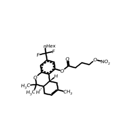 CCCCCCC(F)(F)c1cc(OC(=O)CCCO[N+](=O)[O-])c2c(c1)OC(C)(C)[C@@H]1CC=C(C)C[C@@H]21